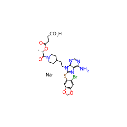 C[C@H](OC(=O)CCC(=O)O)C(=O)N1CCC(CCn2c(Sc3cc4c(cc3Br)OCO4)nc3c(N)ncnc32)CC1.[Na]